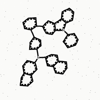 c1ccc(-n2c3ccccc3c3cc(-c4ccccc4-c4ccc(N(c5ccc6ccccc6c5)c5ccc6ccccc6c5)cc4)ccc32)cc1